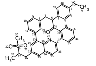 CSc1ccc(C(Cc2cccc(-c3cc(CC(C)S(C)(=O)=O)cc4cccnc34)c2)C(=O)c2ccccc2)cc1